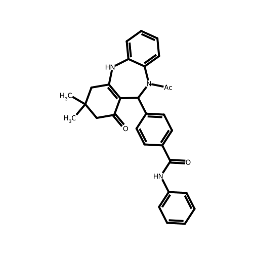 CC(=O)N1c2ccccc2NC2=C(C(=O)CC(C)(C)C2)C1c1ccc(C(=O)Nc2ccccc2)cc1